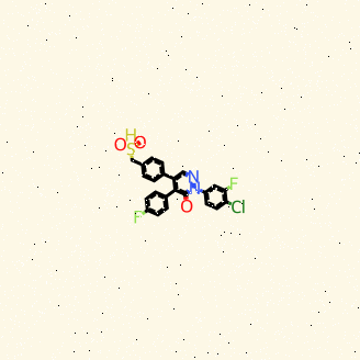 O=c1c(-c2ccc(F)cc2)c(-c2ccc(C[SH](=O)=O)cc2)cnn1-c1ccc(Cl)c(F)c1